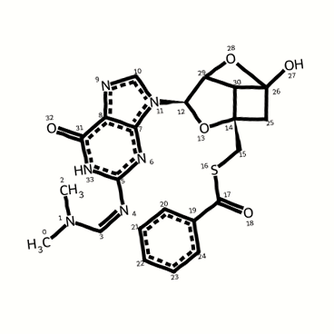 CN(C)/C=N\c1nc2c(ncn2[C@@H]2O[C@@]3(CSC(=O)c4ccccc4)CC4(O)OC2C43)c(=O)[nH]1